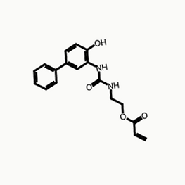 C=CC(=O)OCCNC(=O)Nc1cc(-c2ccccc2)ccc1O